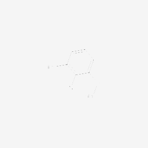 [CH2]C(C)c1cccc(OCCC)c1[N+](=O)[O-]